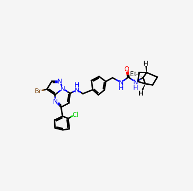 CC[C@]1(NC(=O)NCc2ccc(CNc3cc(-c4ccccc4Cl)nc4c(Br)cnn34)cc2)[C@H]2CC[C@@H]1CC2